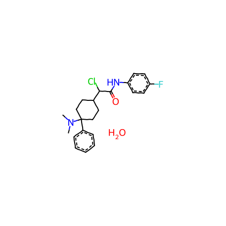 CN(C)C1(c2ccccc2)CCC(C(Cl)C(=O)Nc2ccc(F)cc2)CC1.O